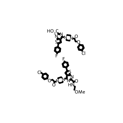 COCCNC(=O)c1nc(N2CCN(C(=O)COc3ccc(Cl)cc3)CC2)c2cc(-c3ccc(F)cc3)sc2n1.O=C(O)c1nc(N2CCN(C(=O)COc3ccc(Cl)cc3)CC2)c2cc(-c3ccc(F)cc3)sc2n1